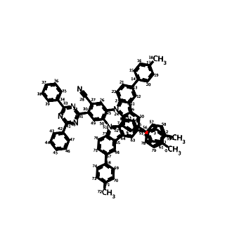 Cc1ccc(-c2ccc3c(c2)c2cc(-c4ccc(C)cc4)ccc2n3-c2cc(C#N)c(-c3nc(-c4ccccc4)nc(-c4ccccc4)n3)cc2-n2c3ccc(-c4ccc(C)cc4)cc3c3cc(-c4ccc(C)cc4)ccc32)cc1